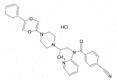 CC(CN(C(=O)c1ccc(C#N)cc1)c1ccccn1)N1CCN(C2=COC(C3=CC=CCC3)=CO2)CC1.Cl